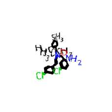 Cc1cc([SiH3])ccc1C(C)(C)N(CCc1ccc(Cl)cc1)C(=O)c1cc(Cl)ccc1N